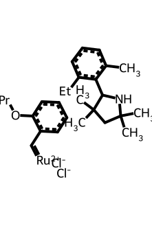 CC(C)Oc1ccccc1[CH]=[Ru+2].CCc1cccc(C)c1C1NC(C)(C)CC1(C)C.[Cl-].[Cl-]